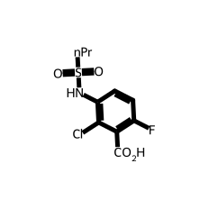 CCCS(=O)(=O)Nc1ccc(F)c(C(=O)O)c1Cl